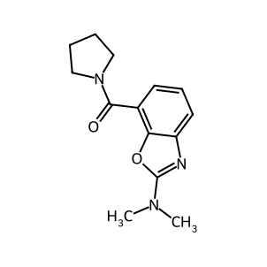 CN(C)c1nc2cccc(C(=O)N3CCCC3)c2o1